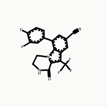 N#Cc1cc(-c2ccc(F)c(F)c2)c2c(c1)c(C(F)(F)F)c1n2CCNC1=O